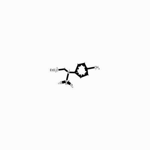 CCOC(=O)CN(c1ccc(C)cc1)[SH](=O)=O